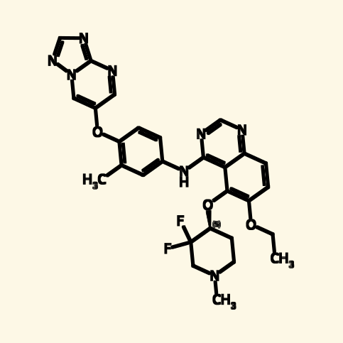 CCOc1ccc2ncnc(Nc3ccc(Oc4cnc5ncnn5c4)c(C)c3)c2c1O[C@H]1CCN(C)CC1(F)F